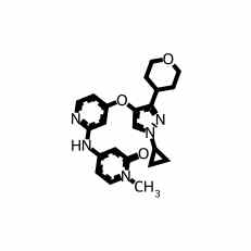 Cn1ccc(Nc2cc(Oc3cn(C4CC4)nc3C3CCOCC3)ccn2)cc1=O